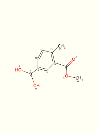 COC(=O)c1cc(B(O)O)ccc1C